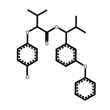 CC(C)C(Oc1ccc(Cl)cc1)C(=O)OC(c1cccc(Oc2ccccc2)c1)C(C)C